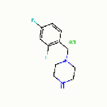 Cl.Fc1ccc(CN2CCNCC2)c(F)c1